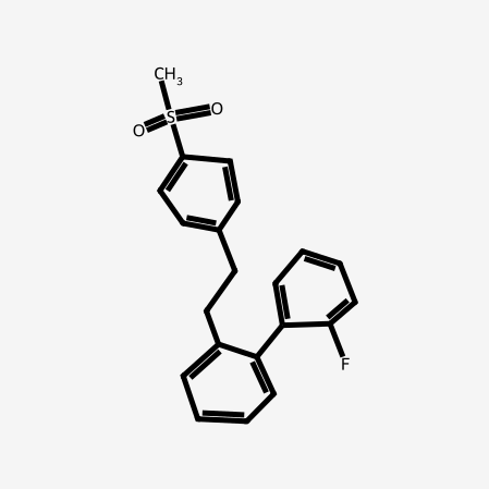 CS(=O)(=O)c1ccc(CCc2ccccc2-c2ccccc2F)cc1